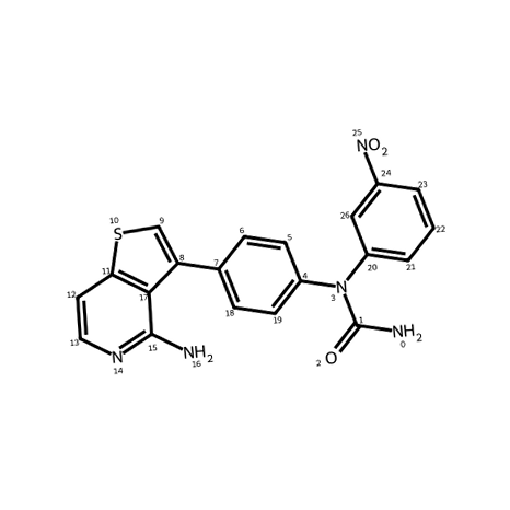 NC(=O)N(c1ccc(-c2csc3ccnc(N)c23)cc1)c1cccc([N+](=O)[O-])c1